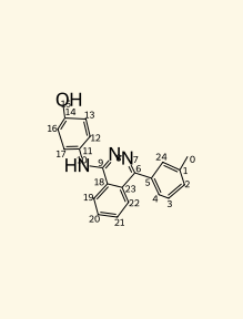 Cc1cccc(-c2nnc(Nc3ccc(O)cc3)c3ccccc23)c1